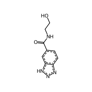 O=C(NCCO)c1ccc2nn[nH]c2c1